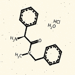 CN(Cc1ccccc1)C(=O)[C@@H](N)c1ccccc1.Cl.O